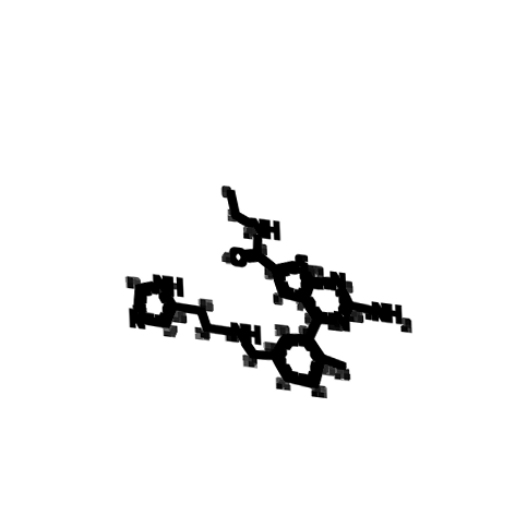 CCNC(=O)c1cc2c(-c3cc(CNCCc4cnc[nH]4)ccc3C)nc(N)nc2s1